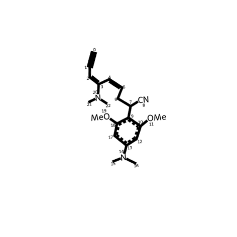 C#C/C=C(\C=C/CC(C#N)c1c(OC)cc(N(C)C)cc1OC)N(C)C